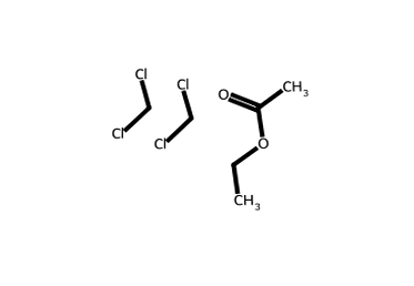 CCOC(C)=O.ClCCl.ClCCl